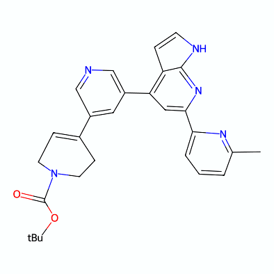 Cc1cccc(-c2cc(-c3cncc(C4=CCN(C(=O)OC(C)(C)C)CC4)c3)c3cc[nH]c3n2)n1